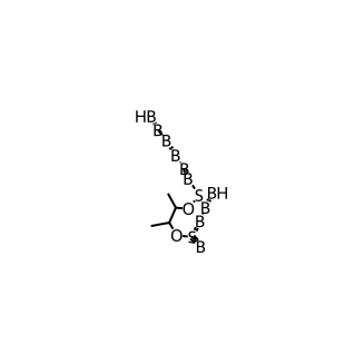 B#S(=BB=B)OC(C)C(C)OSB=BB=BB=B